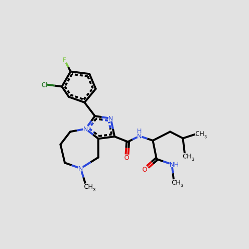 CNC(=O)C(CC(C)C)NC(=O)c1nc(-c2ccc(F)c(Cl)c2)n2c1CN(C)CCC2